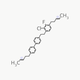 C/C=C/CCc1ccc(-c2ccc(CCc3ccc(CC/C=C/C)c(F)c3Cl)cc2)cc1